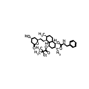 CCC(C)(C)C(=O)O[C@H]1C[C@@H](C)[C@@H](OC(=O)NCc2ccccc2)[C@@H]2CC[C@H](C)[C@H](CC[C@@H]3C[C@@H](O)CC(=O)O3)[C@H]21